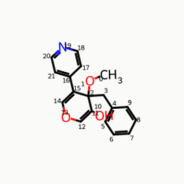 COC1(Cc2ccccc2)C(O)=COC=C1c1ccncc1